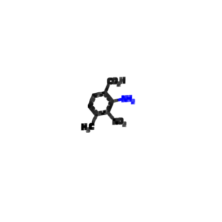 Cc1ccc(C(=O)O)c(N)c1[N+](=O)[O-]